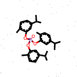 Cc1ccc(C(C)C)cc1OP(=O)(Oc1cc(C(C)C)ccc1C)Oc1cc(C(C)C)ccc1C